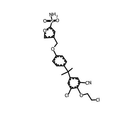 CC(C)(c1ccc(OCc2coc(S(N)(=O)=O)c2)cc1)c1cc(Cl)c(OCCCl)c(C#N)c1